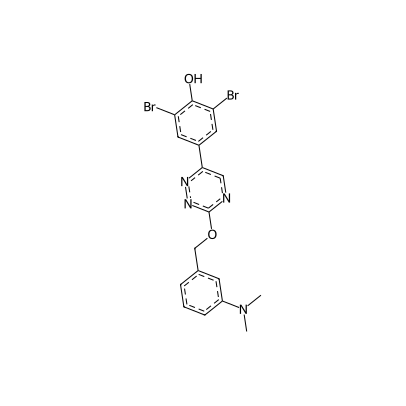 CN(C)c1cccc(COc2ncc(-c3cc(Br)c(O)c(Br)c3)nn2)c1